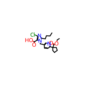 CCCCc1nc(Cl)c(C(=O)O)n1Cc1ccc(C2(C(=O)OCC)CCCC2)nc1